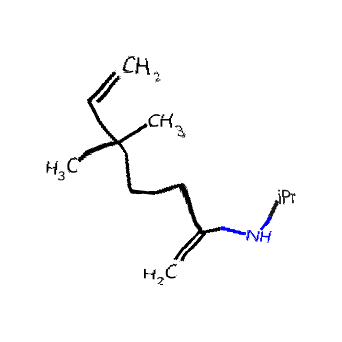 C=CC(C)(C)CCC(=C)NC(C)C